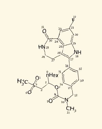 CCCCCCC(CS(C)(=O)=O)OC(=O)N(C)Cc1ccc(-c2[nH]c3cc(F)cc4c3c2CCNC4=O)cc1